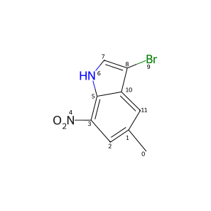 Cc1cc([N+](=O)[O-])c2[nH]cc(Br)c2c1